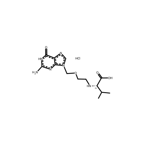 CC(C)[C@H](NCCOCn1cnc2c(=O)[nH]c(N)nc21)C(=O)O.Cl